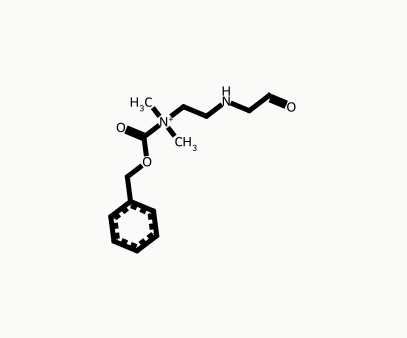 C[N+](C)(CCNC[C]=O)C(=O)OCc1ccccc1